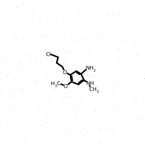 CNc1cc(OC)c(OCCCCl)cc1N